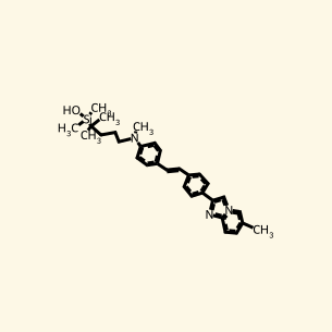 Cc1ccc2nc(-c3ccc(/C=C/c4ccc(N(C)CCCC(C)(C)[Si](C)(C)O)cc4)cc3)cn2c1